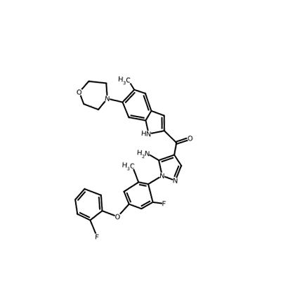 Cc1cc2cc(C(=O)c3cnn(-c4c(C)cc(Oc5ccccc5F)cc4F)c3N)[nH]c2cc1N1CCOCC1